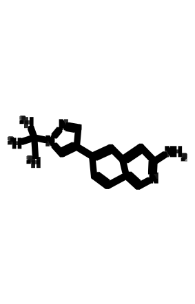 [2H]C([2H])([2H])n1cc(-c2ccc3cnc(N)cc3c2)cn1